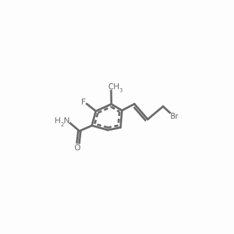 Cc1c(C=CCBr)ccc(C(N)=O)c1F